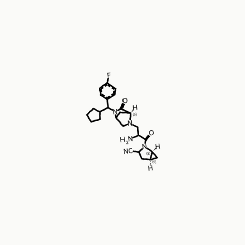 N#CC1C[C@@H]2C[C@@H]2N1C(=O)C(N)CN1CC2C[C@H]1C(=O)N2C(c1ccc(F)cc1)C1CCCC1